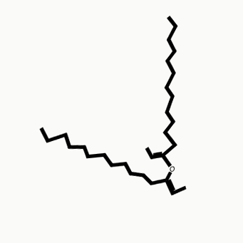 CC=C(CCCCCCCCCCCC)OC(=CC)CCCCCCCCCCCC